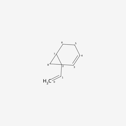 C=CC12C=CCCC1C2